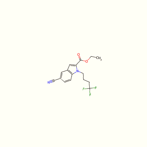 CCOC(=O)c1cc2cc(C#N)ccc2n1CCCC(F)(F)F